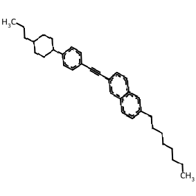 CCCCCCCCc1ccc2cc(C#Cc3ccc(C4CCC(CCC)CC4)cc3)ccc2c1